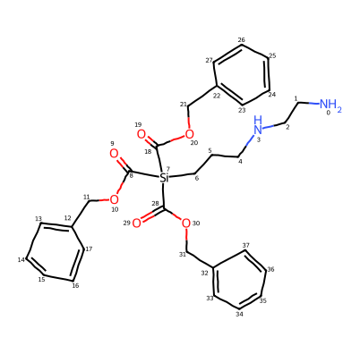 NCCNCCC[Si](C(=O)OCc1ccccc1)(C(=O)OCc1ccccc1)C(=O)OCc1ccccc1